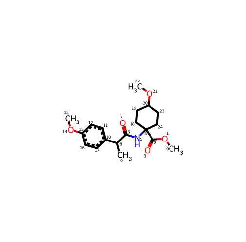 COC(=O)C1(NC(=O)C(C)c2ccc(OC)cc2)CCC(OC)CC1